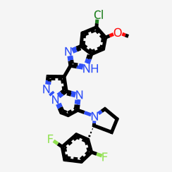 COc1cc2[nH]c(-c3cnn4ccc(N5CCC[C@@H]5c5cc(F)ccc5F)nc34)nc2cc1Cl